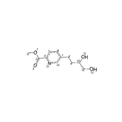 COC(=O)c1ccc(CCC(O)CO)cn1